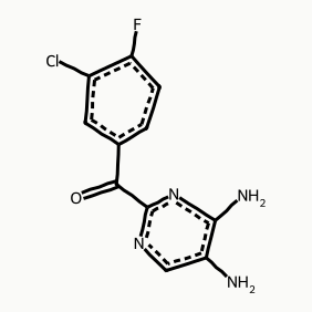 Nc1cnc(C(=O)c2ccc(F)c(Cl)c2)nc1N